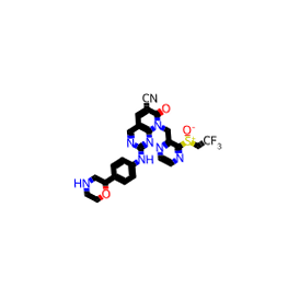 N#Cc1cc2cnc(Nc3ccc(C4CNCCO4)cc3)nc2n(Cc2nccnc2[S+]([O-])CC(F)(F)F)c1=O